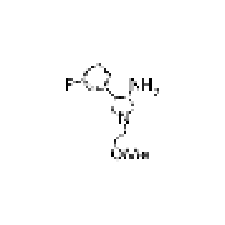 COCCN1CC(N)C(c2cccc(F)c2)C1